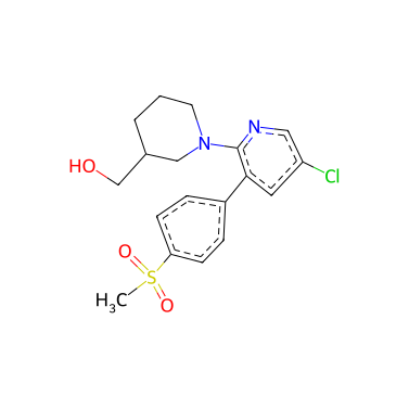 CS(=O)(=O)c1ccc(-c2cc(Cl)cnc2N2CCCC(CO)C2)cc1